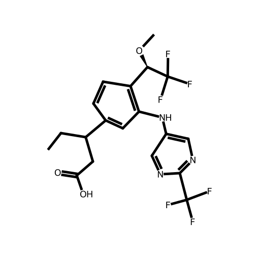 CCC(CC(=O)O)c1ccc([C@@H](OC)C(F)(F)F)c(Nc2cnc(C(F)(F)F)nc2)c1